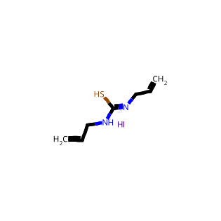 C=CC/N=C(\S)NCC=C.I